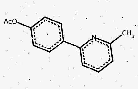 CC(=O)Oc1ccc(-c2cccc(C)n2)cc1